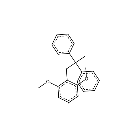 COc1c[c]cc(OC)c1CC(C)(c1ccccc1)c1ccccc1